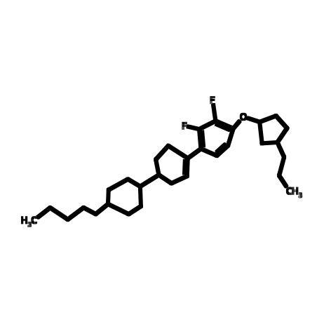 CCCCCC1CCC(C2CC=C(c3ccc(OC4CCC(CCC)C4)c(F)c3F)CC2)CC1